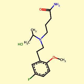 COc1ccc(F)cc1CCN(CCCC(N)=O)C(C)C.Cl